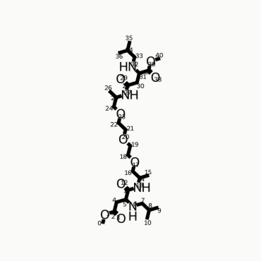 COC(=O)CC(NCC(C)C)C(=O)NC(C)COCCOCCOCC(C)NC(=O)CC(NCC(C)C)C(=O)OC